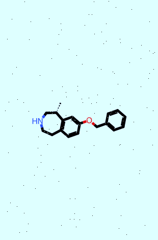 C[C@H]1CNCCc2ccc(OCc3ccccc3)cc21